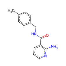 Cc1ccc(CNC(=O)c2cccnc2N)cc1